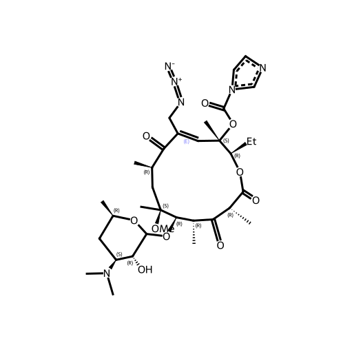 CC[C@H]1OC(=O)[C@H](C)C(=O)[C@H](C)[C@@H](OC2O[C@H](C)C[C@H](N(C)C)[C@H]2O)[C@@](C)(OC)C[C@@H](C)C(=O)/C(CN=[N+]=[N-])=C/[C@]1(C)OC(=O)n1ccnc1